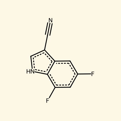 N#Cc1c[nH]c2c(F)cc(F)cc12